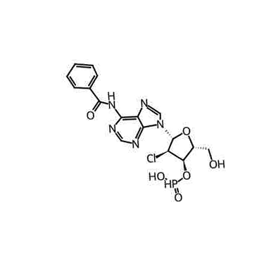 O=C(Nc1ncnc2c1ncn2[C@@H]1O[C@H](CO)[C@@H](O[PH](=O)O)[C@H]1Cl)c1ccccc1